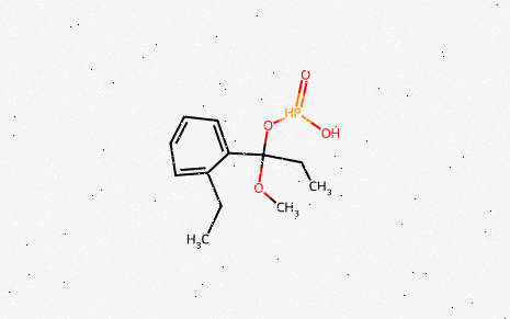 CCc1ccccc1C(CC)(OC)O[PH](=O)O